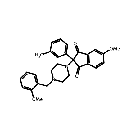 COc1ccc2c(c1)C(=O)C(c1cccc(C)c1)(N1CCN(Cc3ccccc3OC)CC1)C2=O